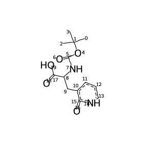 CC(C)(C)OC(=O)NC(Cc1ccc[nH]c1=O)C(=O)O